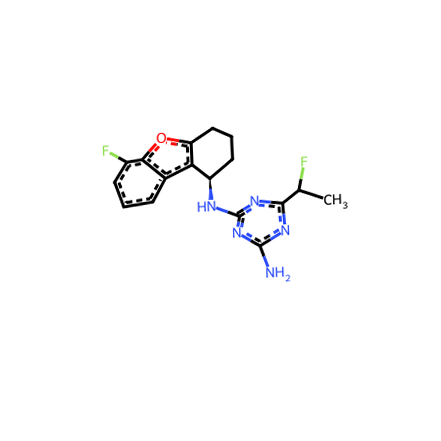 CC(F)c1nc(N)nc(N[C@@H]2CCCc3oc4c(F)cccc4c32)n1